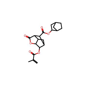 C=C(C)C(=O)OC1C2CC3C1OC(=O)C3C2C(=O)OC1CC2CCC1C2